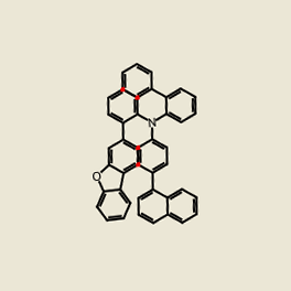 c1ccc(-c2ccccc2N(c2ccc(-c3cccc4ccccc34)cc2)c2ccccc2-c2ccc3c(c2)oc2ccccc23)cc1